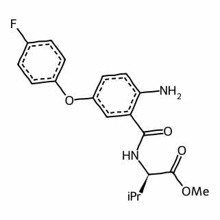 COC(=O)[C@H](NC(=O)c1cc(Oc2ccc(F)cc2)ccc1N)C(C)C